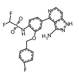 Nc1n[nH]c2ccnc(-c3ccc(NS(=O)(=O)C(F)F)c(OCc4ccc(F)cc4)c3)c12